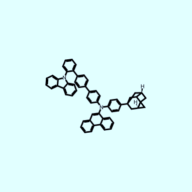 c1ccc(-n2c3ccccc3c3ccccc32)c(-c2ccc(-c3ccc(N(c4ccc(C56CC7[C@H](C5)CC75C[C@H]5C6)cc4)c4cc5ccccc5c5ccccc45)cc3)cc2)c1